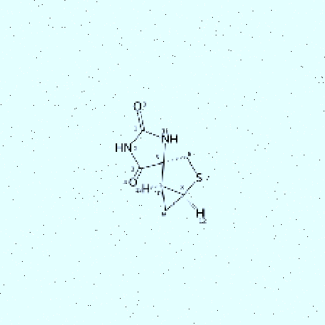 O=C1NC(=O)[C@@]2(CS[C@H]3C[C@H]32)N1